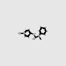 CN(C(=O)Oc1cc[n+]([O-])cc1)c1ccccc1